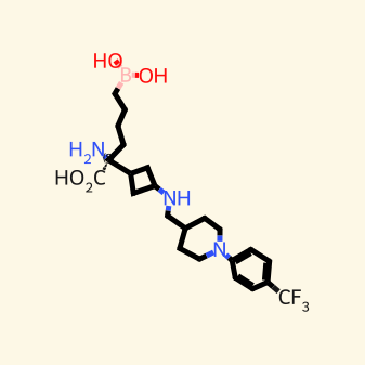 N[C@](CCCCB(O)O)(C(=O)O)C1CC(NCC2CCN(c3ccc(C(F)(F)F)cc3)CC2)C1